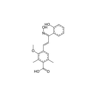 COc1c(C=CC(=NO)c2ccccc2O)cc(C)c(C(=O)O)c1C